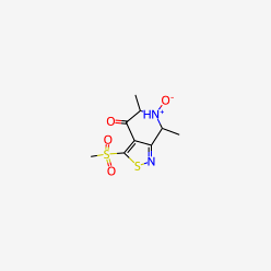 CC1C(=O)c2c(nsc2S(C)(=O)=O)C(C)[NH+]1[O-]